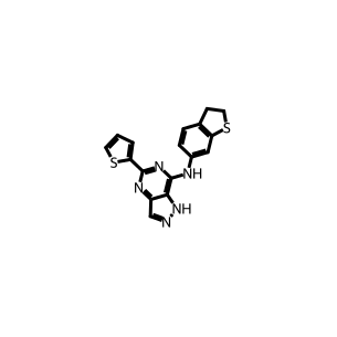 c1csc(-c2nc(Nc3ccc4c(c3)SCC4)c3[nH]ncc3n2)c1